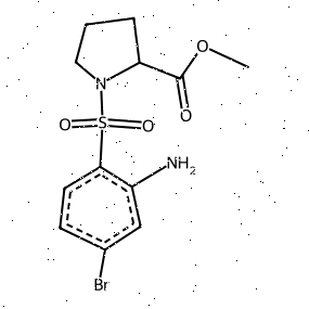 COC(=O)C1CCCN1S(=O)(=O)c1ccc(Br)cc1N